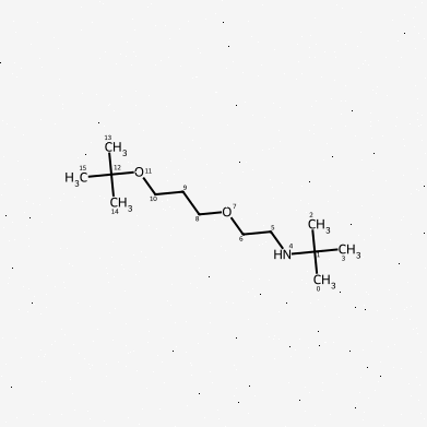 CC(C)(C)NCCOCCCOC(C)(C)C